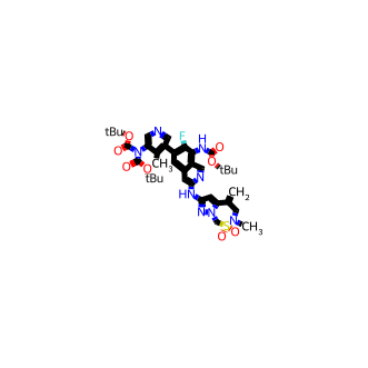 C=C1CN(C)S(=O)(=O)Cn2nc(Nc3cc4cc(-c5cncc(N(C(=O)OC(C)(C)C)C(=O)OC(C)(C)C)c5C)c(F)c(NC(=O)OC(C)(C)C)c4cn3)cc21